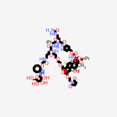 CCCC1O[C@@H]2C[C@H]3[C@@H]4C[C@H](F)C5=CC(=O)C=C[C@]5(C)[C@@]4(F)[C@@H](O)C[C@]3(C)[C@]2(C(=O)CNC(=O)OCc2ccc(NC(=O)[C@H](CCCNC(N)=O)NC(=O)[C@@H](NC(=O)[C@@H](CCCCNC(=O)COC3CCCCCc4c3nnn4[C@@H]3O[C@H](CO)[C@H](O)[C@H](O)[C@H]3O)NC(=O)CCOCCOCCOCCOCCN3C(=O)C=CC3=O)C(C)C)cc2)O1